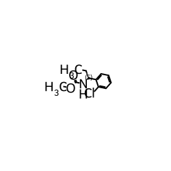 CC[C@H](NC(=O)OC)c1ccccc1Cl